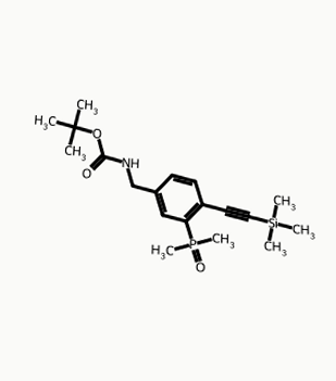 CC(C)(C)OC(=O)NCc1ccc(C#C[Si](C)(C)C)c(P(C)(C)=O)c1